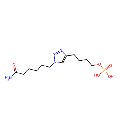 NC(=O)CCCCCn1cc(CCCCOP(=O)(O)O)nn1